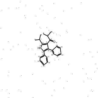 CC(C)C(=O)c1c(C(C)C)[nH]c(-c2ccccc2)c1-c1ccccc1